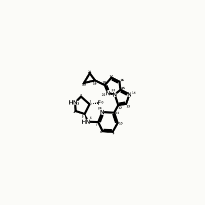 F[C@H]1CNC[C@@H]1Nc1cccc(-c2cnc3ccc(C4CC4)nn23)n1